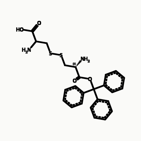 NC(CSSC[C@H](N)C(=O)OC(c1ccccc1)(c1ccccc1)c1ccccc1)C(=O)O